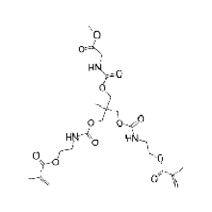 C=C(C)C(=O)OCCNC(=O)OCC(C)(COC(=O)NCCOC(=O)C(=C)C)COC(=O)NCC(=O)OC